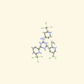 Cc1ncc(C(F)F)cc1-c1nc(Nc2ccnc(C(F)(F)F)c2)nc(-c2cccc(C(F)(F)F)n2)n1